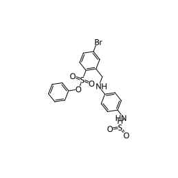 O=[SH](=O)Nc1ccc(NCc2cc(Br)ccc2S(=O)(=O)Oc2ccccc2)cc1